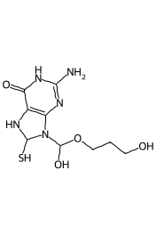 Nc1nc2c(c(=O)[nH]1)NC(S)N2C(O)OCCCO